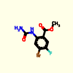 COC(=O)c1cc(F)c(Br)cc1NC(N)=O